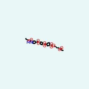 C=CCOC(=O)Nc1ccc(C(=O)Oc2ccc(OC(=O)c3ccc(OC(=O)OCCCCOC(=O)C=C)cc3)cc2)cc1